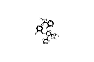 CCNC(=O)c1cccnc1C[C@@H]1OC(C)(C)N(C(=O)OC(C)(C)C)[C@@H]1Cc1ccccc1F